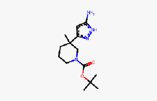 CC(C)(C)OC(=O)N1CCCC(C)(c2cc(N)[nH]n2)C1